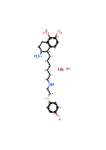 Br.Br.NC1CCc2c(ccc(O)c2O)C1CCCCCCNCCSc1ccc(O)cc1